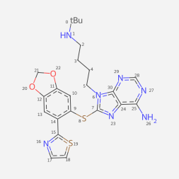 CC(C)(C)NCCCCn1c(Sc2cc3c(cc2-c2nccs2)OCO3)nc2c(N)ncnc21